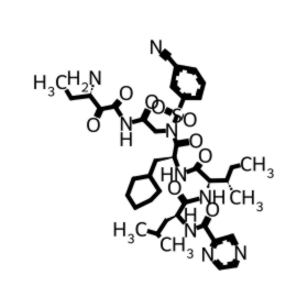 CC[C@H](N)C(=O)C(=O)NC(=O)CN(C(=O)[C@H](CC1CCCCC1)NC(=O)[C@@H](NC(=O)[C@H](CC(C)C)NC(=O)c1cnccn1)[C@@H](C)CC)S(=O)(=O)c1cccc(C#N)c1